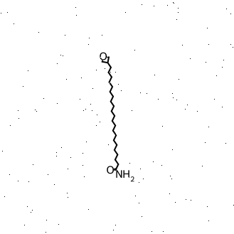 NC(=O)CCCCCCCCCCCCCCCCCCCCCC1COC1